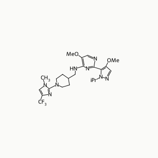 COc1cnc(-c2c(OC)cnn2C(C)C)nc1NCC1CCN(c2nc(C(F)(F)F)cn2C)CC1